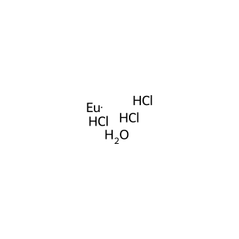 Cl.Cl.Cl.O.[Eu]